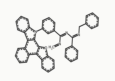 C=N/C(=N\C(=N/Cc1ccccc1)c1ccccc1)c1cccc(-n2c3ccccc3c3c4ccccc4c4c5ccccc5oc4c32)c1